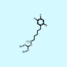 CC(C)OC(O[SiH2]CCCCCc1cc(F)c(F)cc1F)OC(C)C